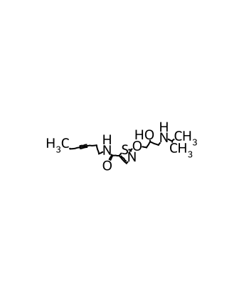 CCC#CCCNC(=O)c1cnc(OCC(O)CNC(C)C)s1